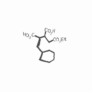 CCOC(=O)CC(C(=O)O)C(=CC1CCCCC1)C(=O)O